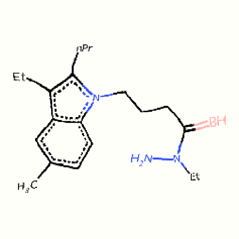 B=C(CCCn1c(CCC)c(CC)c2cc(C)ccc21)N(N)CC